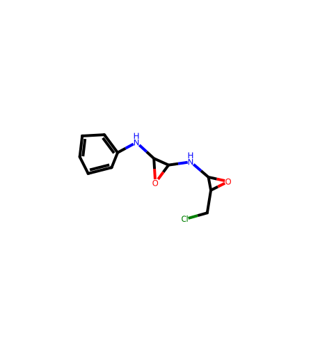 ClCC1OC1NC1OC1Nc1ccccc1